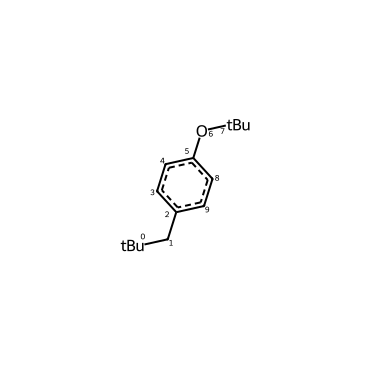 CC(C)(C)Cc1ccc(OC(C)(C)C)cc1